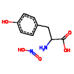 NC(Cc1ccc(O)cc1)C(=O)O.O=NO